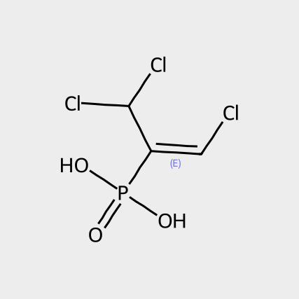 O=P(O)(O)/C(=C/Cl)C(Cl)Cl